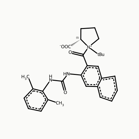 Cc1cccc(C)c1NC(=O)Nc1cc2ccccc2cc1C(=O)[N+]1(C(C)(C)C)CCC[C@H]1C(=O)[O-]